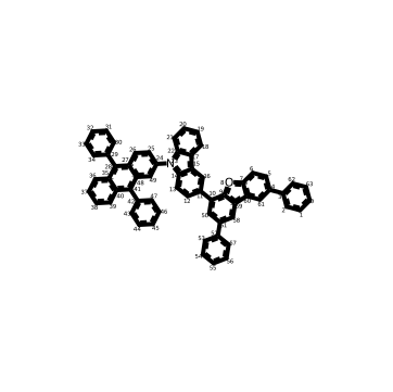 c1ccc(-c2ccc3oc4c(-c5ccc6c(c5)c5ccccc5n6-c5ccc6c(-c7ccccc7)c7ccccc7c(-c7ccccc7)c6c5)cc(-c5ccccc5)cc4c3c2)cc1